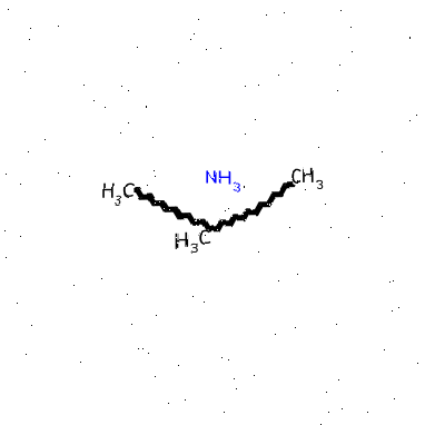 CCCCCCCCCCCCCCC(C)CCCCCCCCCCCC.N